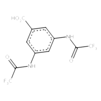 O=C(O)c1cc(NC(=O)C(F)(F)F)cc(NC(=O)C(F)(F)F)c1